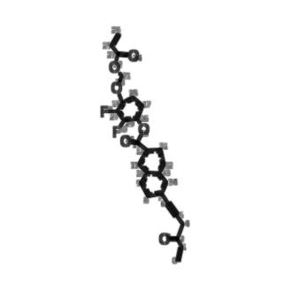 C=CC(=O)CC#Cc1ccc2cc(C(=O)Oc3ccc(OCOC(=O)C=C)c(F)c3F)ccc2c1